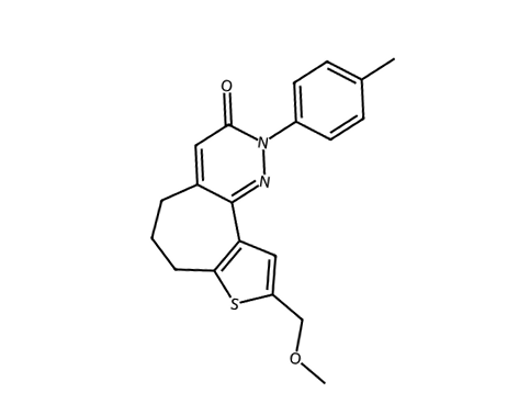 COCc1cc2c(s1)CCCc1cc(=O)n(-c3ccc(C)cc3)nc1-2